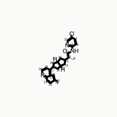 C[C@@H](C(=O)Nc1ccc(Cl)cn1)C1C[C@H]2CC(c3ccnc4ccc(F)cc34)C[C@H]2C1